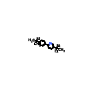 CCC(C)(C)c1ccc(-c2ccc(C(C)(CC)CC)cn2)cc1